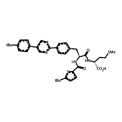 CSCC[C@@H](NC(=O)[C@H](Cc1ccc(-c2ncc(-c3ccc(C(C)(C)C)cc3)cn2)cc1)NC(=O)c1ccc(C(C)(C)C)s1)C(=O)O